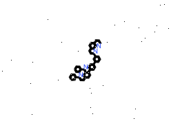 c1ccc(-c2ccc3ccc4c5ccc(-c6cccc(-c7ccc8ccc9cccnc9c8n7)c6)cc5nc(-c5ccccc5)c4c3n2)cc1